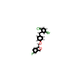 Fc1ccc2c(c1)CO[C@@H]2COc1ccc(Cc2cc(Br)ccc2Cl)cc1